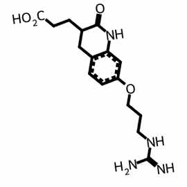 N=C(N)NCCCOc1ccc2c(c1)NC(=O)C(CCC(=O)O)C2